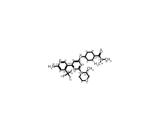 C[C@H]1COCCN1c1nc(OC2CCC(C(=O)N(C)C)CC2)cc(-c2cnc(N)cc2C(F)(F)F)n1